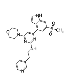 CS(=O)(=O)c1cc(-c2cc(N3CCOCC3)nc(NCCc3cccnc3)n2)c2cc[nH]c2c1